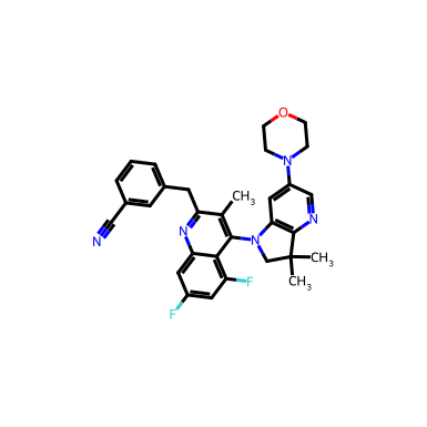 Cc1c(Cc2cccc(C#N)c2)nc2cc(F)cc(F)c2c1N1CC(C)(C)c2ncc(N3CCOCC3)cc21